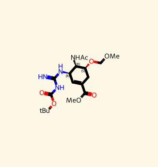 COCO[C@H]1CC(C(=O)OC)=C[C@@H](NC(=N)NC(=O)OC(C)(C)C)[C@H]1NC(C)=O